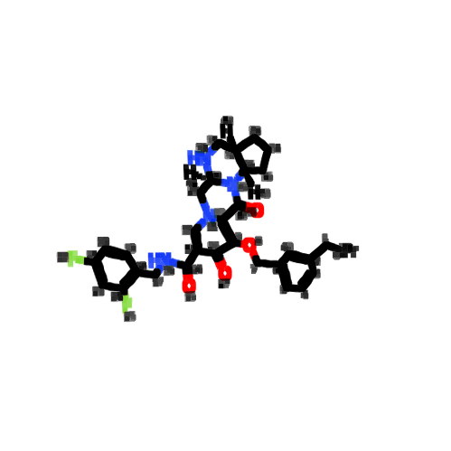 CC(C)Cc1cccc(COc2c3n(cc(C(=O)NCc4ccc(F)cc4F)c2=O)C[C@H]2NC[C@@H]4CCC[C@@H]4N2C3=O)c1